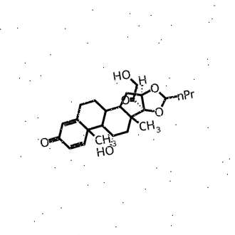 CCCC1O[C@@H]2CC3C4CCC5=CC(=O)C=CC5(C)C4[C@@H](O)CC3(C)[C@]2(C(=O)CO)O1